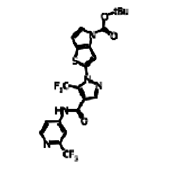 CC(C)(C)OC(=O)n1ccc2sc(-n3ncc(C(=O)Nc4ccnc(C(F)(F)F)c4)c3C(F)(F)F)cc21